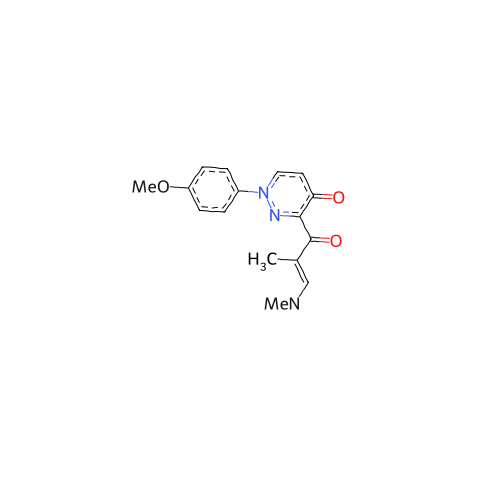 CN/C=C(\C)C(=O)c1nn(-c2ccc(OC)cc2)ccc1=O